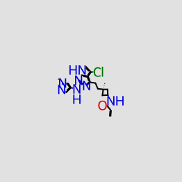 C=CC(=O)N[C@H]1C[C@@](C)(CCc2nc(Nc3cnn(C)c3)nc3[nH]cc(Cl)c23)C1